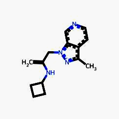 C=C(Cn1nc(C)c2ccncc21)NC1CCC1